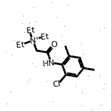 CC[N+](CC)(CC)CC(=O)Nc1c(C)cc(C)cc1Cl